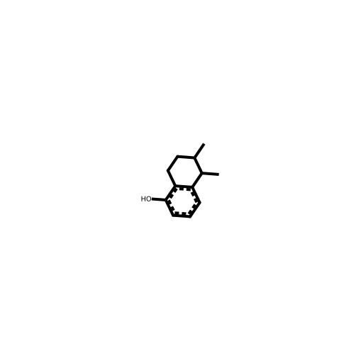 CC1CCc2c(O)cccc2C1C